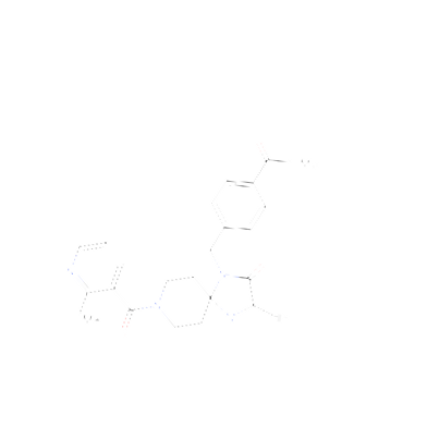 COC(=O)c1ccc(CN2C(=O)C(C(C)C)NC23CCN(C(=O)c2cccnc2SC)CC3)cc1